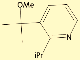 COC(C)(C)c1cccnc1C(C)C